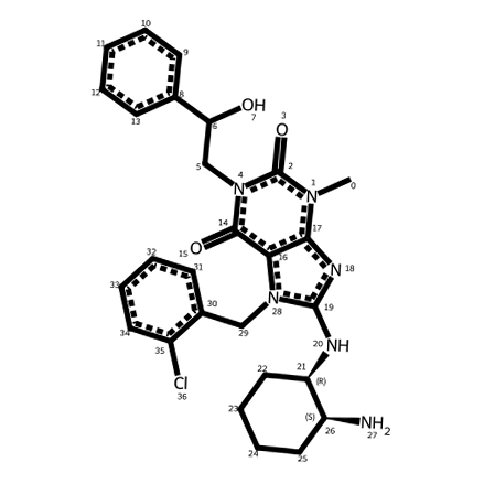 Cn1c(=O)n(CC(O)c2ccccc2)c(=O)c2c1nc(N[C@@H]1CCCC[C@@H]1N)n2Cc1ccccc1Cl